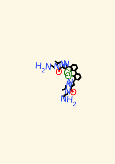 Cc1cn2nc(-c3cccc(-c4cccc(-c5cc6c(=O)n(CCN)c(C)cn6n5)c4Cl)c3Cl)cc2c(=O)n1CCN